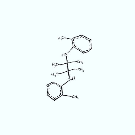 Cc1ccccc1NC(C)(C)C(C)(C)Nc1ccccc1C